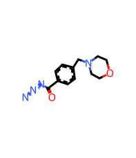 [N-]=[N+]=NC(=O)c1ccc(CN2CCOCC2)cc1